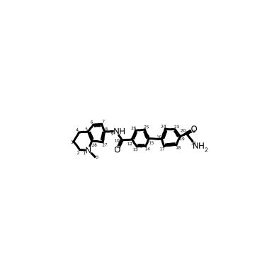 CN1CCCc2ccc(NC(=O)c3ccc(-c4ccc(C(N)=O)cc4)cc3)cc21